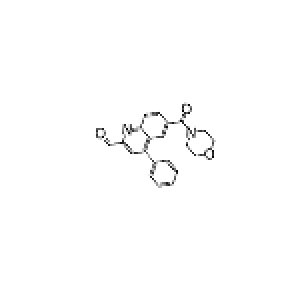 O=Cc1cc(-c2ccccc2)c2cc(C(=O)N3CCOCC3)ccc2n1